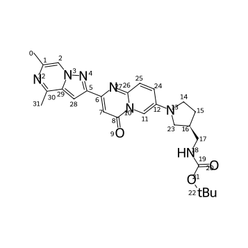 Cc1cn2nc(-c3cc(=O)n4cc(N5CC[C@@H](CNC(=O)OC(C)(C)C)C5)ccc4n3)cc2c(C)n1